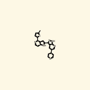 Cc1ccc(-c2nccc3[nH]c(-c4n[nH]c5ncc(-c6ccncc6)cc45)cc23)s1